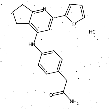 Cl.NC(=O)Cc1ccc(Nc2cc(-c3ccco3)nc3c2CCC3)cc1